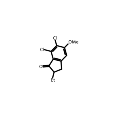 CCC1Cc2cc(OC)c(Cl)c(Cl)c2C1=O